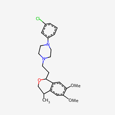 COc1cc2c(cc1OC)C(CCN1CCN(c3cccc(Cl)c3)CC1)OCC2C